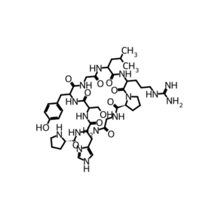 CC(C)CC(NC(=O)CNC(=O)C(Cc1ccc(O)cc1)NC(=O)C(CO)NC(=O)C(Cc1c[nH]cn1)NC(=O)[C@@H]1CCCN1)C(=O)NC(CCCNC(=N)N)C(=O)N1CCC[C@H]1C(=O)NCC(N)=O